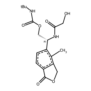 Cc1c([C@H](COC(=O)NC(C)(C)C)NC(=O)CO)ccc2c1COC2=O